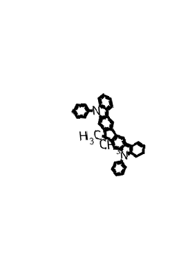 CC1(C)c2cc3c(cc2-c2cc4c5ccccc5n(-c5ccccc5)c4cc21)c1c(n3-c2ccccc2)CCC=C1